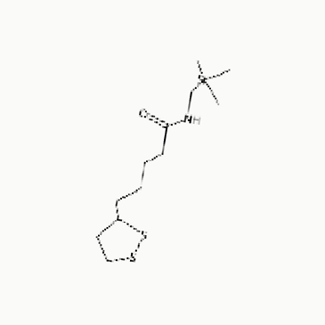 C[Si](C)(C)CNC(=O)CCCCC1CCSS1